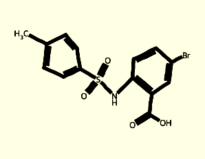 Cc1ccc(S(=O)(=O)Nc2ccc(Br)cc2C(=O)O)cc1